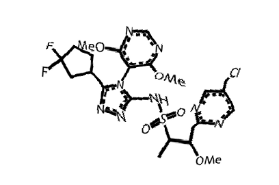 COc1ncnc(OC)c1-n1c(NS(=O)(=O)C(C)C(OC)c2ncc(Cl)cn2)nnc1C1CCC(F)(F)C1